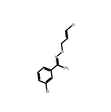 CCc1[c]ccc(/C(C)=N/OCC=CCl)c1